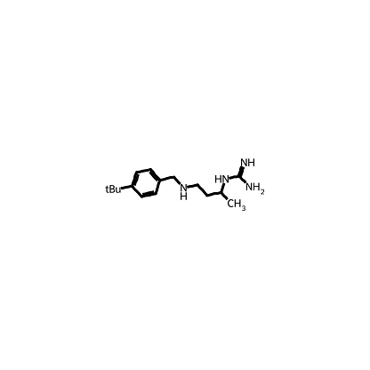 CC(CCNCc1ccc(C(C)(C)C)cc1)NC(=N)N